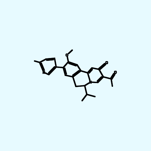 COc1cc2c(cc1-c1ccc(C)nc1)CC(C(C)C)n1cc(C(C)=O)c(=O)cc1-2